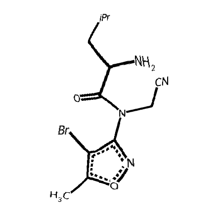 Cc1onc(N(CC#N)C(=O)C(N)CC(C)C)c1Br